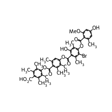 COc1cc(O)cc(C)c1C(=O)Oc1c(C)c(O)c(C(=O)Oc2cc(C)c(C(=O)Oc3c(C)c(C)c(C(=O)O)c(C)c3C)c(C)c2C)c(C)c1Br